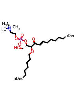 CCCCCCCCCCCCCCCC=CC(=O)C(OCCCCCCCCCCCCCCCC)[C@H](CO)OP(=O)([O-])OCC[N+](C)(C)C